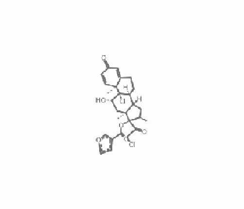 C[C@@H]1C[C@H]2[C@@H]3CCC4=CC(=O)C=C[C@]4(C)[C@@]3(Cl)[C@@H](O)C[C@]2(C)[C@@]1(OC(=O)c1ccoc1)C(=O)CCl